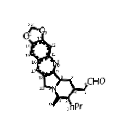 C=C1C(CCC)C(CC=O)CC2c3nc4cc5c(cc4cc3CN12)OCO5